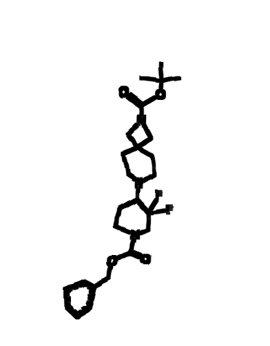 CC(C)(C)OC(=O)N1CC2(CCN(C3CCN(C(=O)OCc4ccccc4)CC3(F)F)CC2)C1